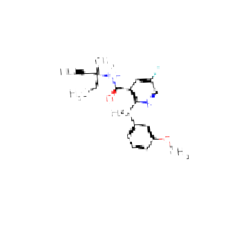 C#CC(C)(CC)NC(=O)c1cc(F)cnc1[AsH]c1cccc(OC)c1